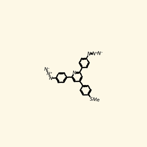 CSc1ccc(-c2cc(-c3ccc(N=[N+]=[N-])cc3)nc(-c3ccc(N=[N+]=[N-])cc3)c2)cc1